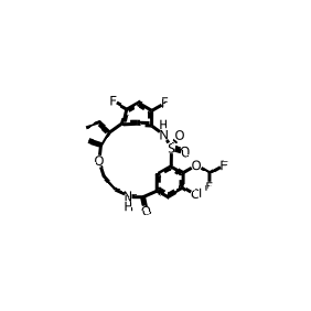 C=C1OCCNC(=O)c2cc(Cl)c(OC(F)F)c(c2)S(=O)(=O)Nc2cc(c(F)cc2F)/C1=C/C